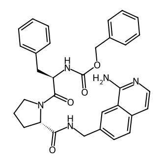 Nc1nccc2ccc(CNC(=O)[C@@H]3CCCN3C(=O)[C@@H](Cc3ccccc3)NC(=O)OCc3ccccc3)cc12